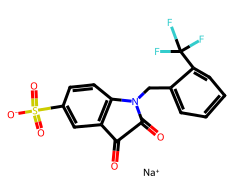 O=C1C(=O)N(Cc2ccccc2C(F)(F)F)c2ccc(S(=O)(=O)[O-])cc21.[Na+]